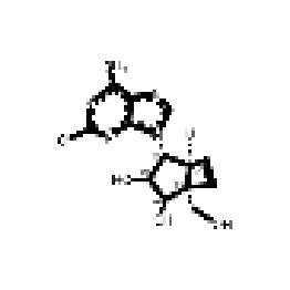 Nc1nc(Cl)nc2c1ncn2[C@H]1[C@H](O)[C@H](O)[C@]2(CO)C=C[C@H]12